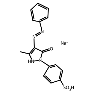 Cc1[nH]n(-c2ccc(S(=O)(=O)O)cc2)c(=O)c1N=Nc1ccccc1.[Na+]